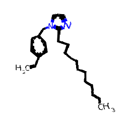 C=Cc1ccc(Cn2ccnc2CCCCCCCCCCC)cc1